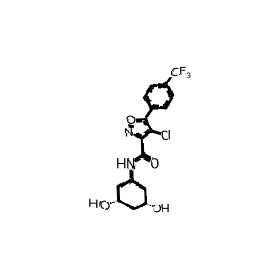 O=C(NC1C[C@@H](O)C[C@@H](O)C1)c1noc(-c2ccc(C(F)(F)F)cc2)c1Cl